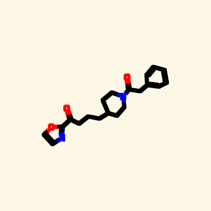 O=C(CCCC1CCN(C(=O)Cc2ccccc2)CC1)c1ncco1